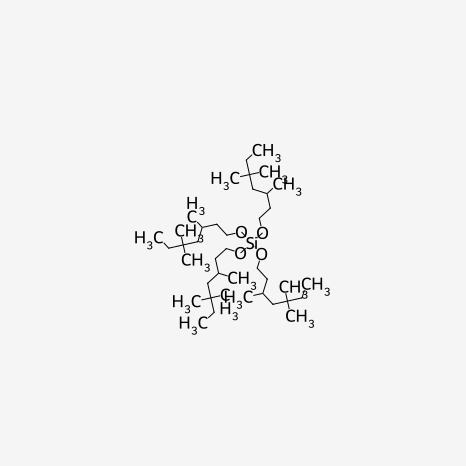 CCC(C)(C)CC(C)CCO[Si](OCCC(C)CC(C)(C)CC)(OCCC(C)CC(C)(C)CC)OCCC(C)CC(C)(C)CC